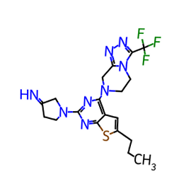 CCCc1cc2c(N3CCn4c(nnc4C(F)(F)F)C3)nc(N3CCC(=N)C3)nc2s1